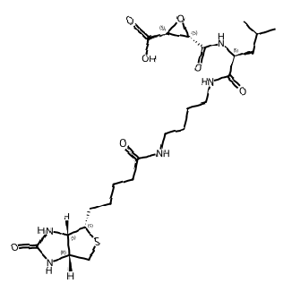 CC(C)C[C@H](NC(=O)[C@H]1O[C@@H]1C(=O)O)C(=O)NCCCCNC(=O)CCCC[C@@H]1SC[C@@H]2NC(=O)N[C@@H]21